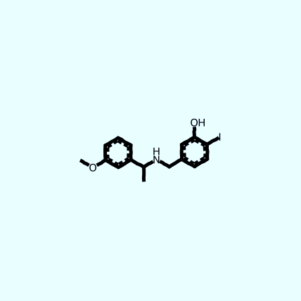 COc1cccc(C(C)NCc2ccc(I)c(O)c2)c1